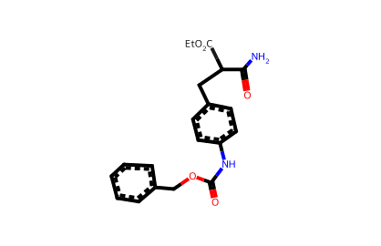 CCOC(=O)C(Cc1ccc(NC(=O)OCc2ccccc2)cc1)C(N)=O